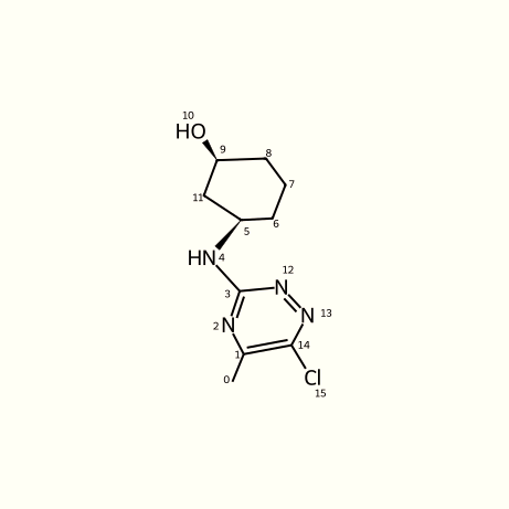 Cc1nc(N[C@@H]2CCC[C@H](O)C2)nnc1Cl